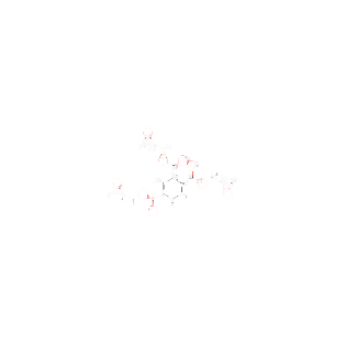 O=C(OCC1CO1)c1ccc(C(=O)OCC2CO2)c(C(=O)OCC2CO2)c1